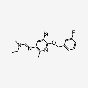 CCN(C)/C=N/c1cc(Br)c(OCc2cccc(F)c2)nc1C